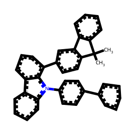 CC1(C)c2ccccc2-c2cc(-c3cccc4c5ccccc5n(-c5ccc(-c6ccccc6)cc5)c34)ccc21